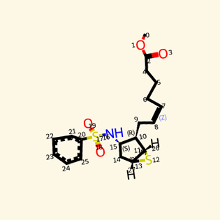 COC(=O)CCC/C=C\C[C@H]1[C@@H]2S[C@@H]2C[C@@H]1NS(=O)(=O)c1ccccc1